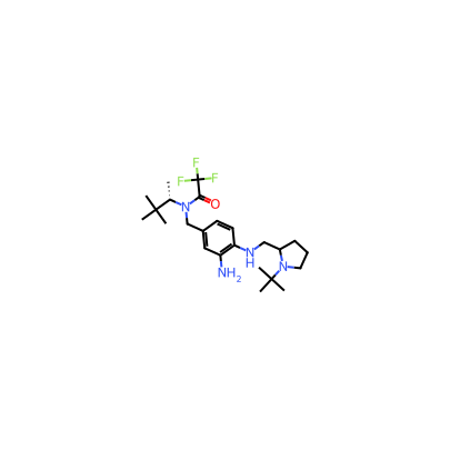 C[C@H](N(Cc1ccc(NCC2CCCN2C(C)(C)C)c(N)c1)C(=O)C(F)(F)F)C(C)(C)C